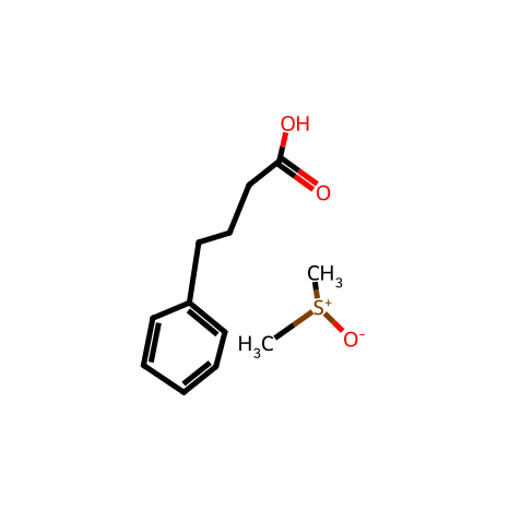 C[S+](C)[O-].O=C(O)CCCc1ccccc1